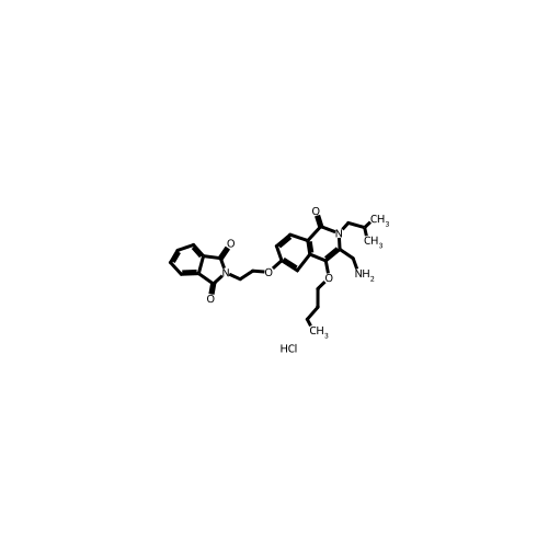 CCCCOc1c(CN)n(CC(C)C)c(=O)c2ccc(OCCN3C(=O)c4ccccc4C3=O)cc12.Cl